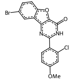 COc1ccc(-c2nc3c(oc4ccc(Br)cc43)c(=O)[nH]2)c(Cl)c1